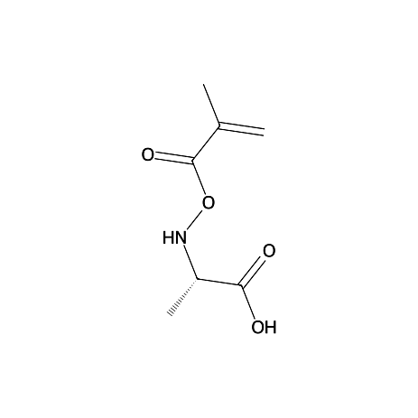 C=C(C)C(=O)ON[C@@H](C)C(=O)O